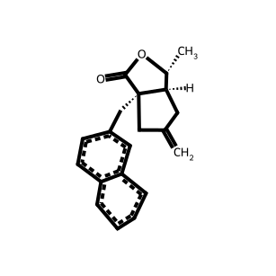 C=C1C[C@@H]2[C@@H](C)OC(=O)[C@]2(Cc2ccc3ccccc3c2)C1